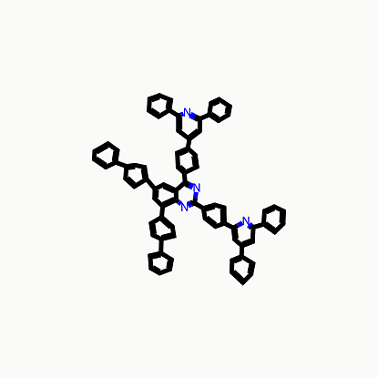 c1ccc(-c2ccc(-c3cc(-c4ccc(-c5ccccc5)cc4)c4nc(-c5ccc(-c6cc(-c7ccccc7)cc(-c7ccccc7)n6)cc5)nc(-c5ccc(-c6cc(-c7ccccc7)nc(-c7ccccc7)c6)cc5)c4c3)cc2)cc1